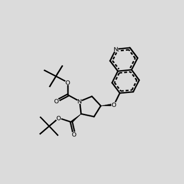 CC(C)(C)OC(=O)[C@@H]1C[C@H](Oc2ccc3ccncc3c2)CN1C(=O)OC(C)(C)C